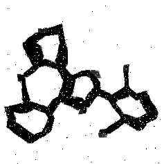 Clc1cccc(Cl)c1-c1nc2c([nH]1)-c1ccncc1Nc1ncccc1-2